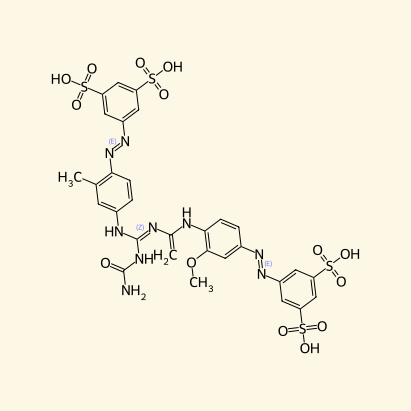 C=C(/N=C(\NC(N)=O)Nc1ccc(/N=N/c2cc(S(=O)(=O)O)cc(S(=O)(=O)O)c2)c(C)c1)Nc1ccc(/N=N/c2cc(S(=O)(=O)O)cc(S(=O)(=O)O)c2)cc1OC